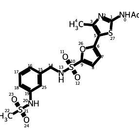 CC(=O)Nc1nc(C)c(-c2ccc(S(=O)(=O)NCc3cccc(NS(C)(=O)=O)c3)o2)s1